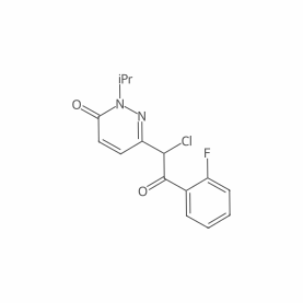 CC(C)n1nc(C(Cl)C(=O)c2ccccc2F)ccc1=O